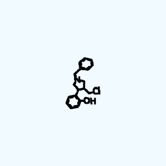 Oc1ccccc1C1CN(Cc2ccccc2)CC1CCl